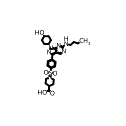 CCCCNc1ncc2c(-c3ccc(S(=O)(=O)N4CCC(C(=O)O)CC4)cc3)nn([C@H]3CC[C@H](O)CC3)c2n1